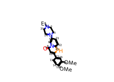 CCN1CCN(C2=CN3C(=O)C=C(c4ccc(OC)c(OC)c4)PC3C=C2)CC1